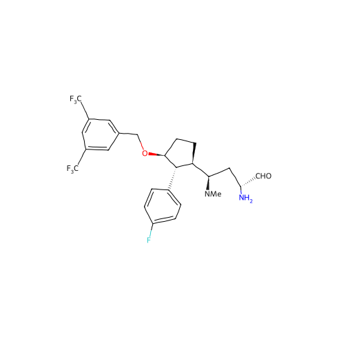 CN[C@H](C[C@@H](N)C=O)[C@@H]1CC[C@H](OCc2cc(C(F)(F)F)cc(C(F)(F)F)c2)[C@H]1c1ccc(F)cc1